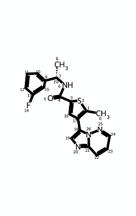 Cc1sc(C(=O)N[C@@H](C)c2cccc(F)c2)cc1-c1cnc2cccnn12